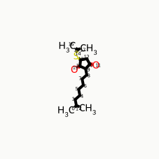 CC(C)CCCCCCC1C(=O)CC(SC(C)C)C1=O